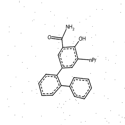 CCCc1cc(-c2ccccc2-c2ccccc2)cc(C(N)=O)c1O